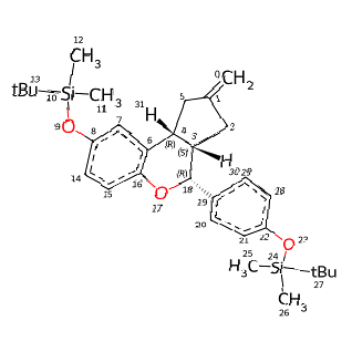 C=C1C[C@H]2[C@@H](C1)c1cc(O[Si](C)(C)C(C)(C)C)ccc1O[C@H]2c1ccc(O[Si](C)(C)C(C)(C)C)cc1